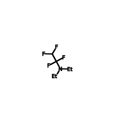 CCN(CC)C(F)(F)C(F)F